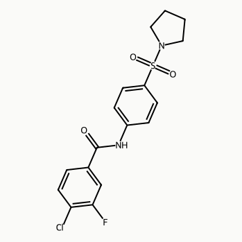 O=C(Nc1ccc(S(=O)(=O)N2CCCC2)cc1)c1ccc(Cl)c(F)c1